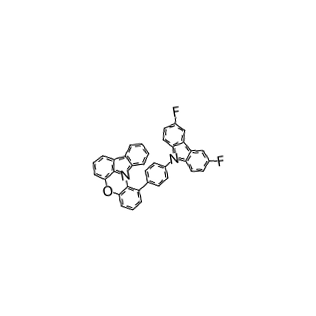 Fc1ccc2c(c1)c1cc(F)ccc1n2-c1ccc(-c2cccc3c2-n2c4ccccc4c4cccc(c42)O3)cc1